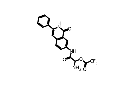 NC(OC(=O)C(F)(F)F)C(=O)Nc1ccc2cc(-c3ccccc3)[nH]c(=O)c2c1